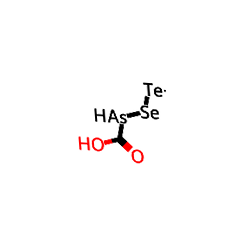 O=C(O)[AsH][Se][Te]